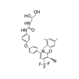 Cc1ccc(Cn2c(-c3ccc(Oc4ccc(NC(=O)NCC(O)CO)cc4)cc3)cc(C(F)(F)F)c(C#N)c2=O)c(C)c1